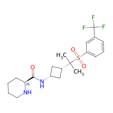 CC(C)([C@H]1C[C@@H](NC(=O)[C@@H]2CCCCN2)C1)S(=O)(=O)c1cccc(C(F)(F)F)c1